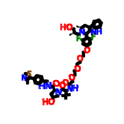 Cc1ncsc1-c1ccc(CNC(=O)[C@@H]2C[C@@H](O)CN2C(=O)[C@@H](NC(=O)COCCOCCOCCOc2cc(F)c(C3c4[nH]c5ccccc5c4C[C@@H](C)N3C[C@H](C)CO)c(F)c2)C(C)(C)C)cc1